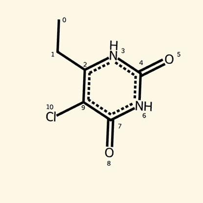 CCc1[nH]c(=O)[nH]c(=O)c1Cl